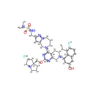 CCc1c(F)ccc2cc(O)cc(N3CCc4c(nc(OC[C@@]56CCCN5C[C@H](F)C6)nc4N4CCCn5nc(CNS(=O)(=O)N(C)C)cc5C4)C3)c12